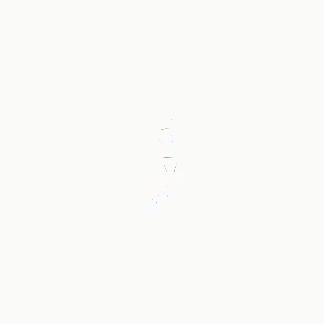 CC(C)NC(=O)NC(=O)C(C)Oc1ccc(Oc2ncc(C(F)(F)F)cc2Cl)cc1